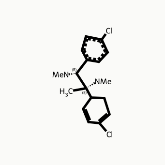 CN[C@H](c1ccc(Cl)cc1)[C@@](C)(NC)C1C=CC(Cl)=CC1